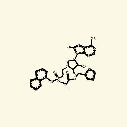 C[C@H](NP(=O)(OC[C@H]1O[C@@H](n2c(Cl)nc3c(N)ncnc32)C(O)C1O)Oc1cccc2ccccc12)C(=O)OCc1ccccc1